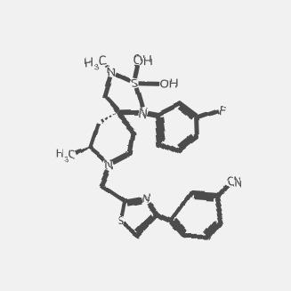 C[C@H]1C[C@]2(CCN1Cc1nc(-c3cccc(C#N)c3)cs1)CN(C)S(O)(O)N2c1cccc(F)c1